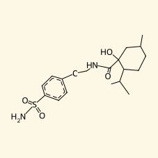 CC1CCC(C(C)C)C(O)(C(=O)NCCc2ccc(S(N)(=O)=O)cc2)C1